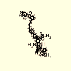 C=C(C)C(=O)Nc1cc(Nc2ncc(Cl)c(Nc3ccccc3P(C)(C)=O)n2)c(OC)cc1N1CCC(N2CCN(CCCC#Cc3cccc4c3CN(C3CCC(=O)NC3=O)C4=O)CC2)CC1